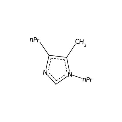 CCCc1ncn(CCC)c1C